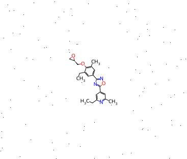 CCc1cc(-c2nc(-c3cc(C)c(OC[C@H]4CO4)c(CC)c3)no2)cc(C)n1